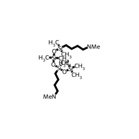 CNCCCC[Si](C)(C)O[Si](C)(C)O[Si](C)(CCCCNC)O[Si](C)(C)C